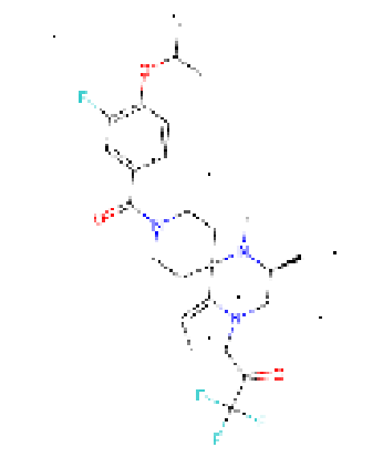 CC(C)Oc1ccc(C(=O)N2CCC3(CC2)c2ccc(C(=O)C(F)(F)F)n2C[C@H](C)N3C)cc1F